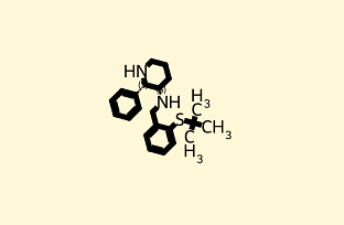 CC(C)(C)Sc1ccccc1CN[C@H]1CCCN[C@H]1c1ccccc1